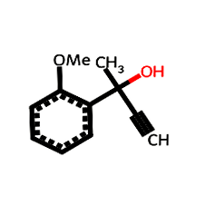 C#CC(C)(O)c1ccccc1OC